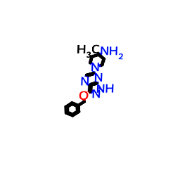 CC1(N)CCN(c2cnc3c(OCc4ccccc4)n[nH]c3n2)CC1